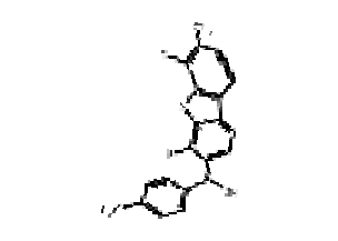 Cc1ccc(C(O)c2ccc3c(sc4c(F)c(C)ccc43)c2F)cc1